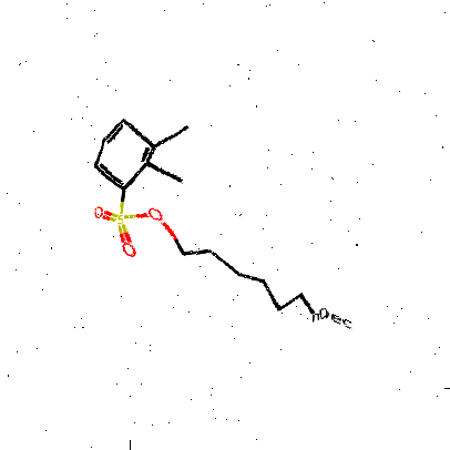 CCCCCCCCCCCCCCCCOS(=O)(=O)c1cccc(C)c1C